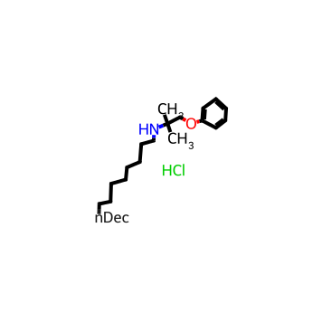 CCCCCCCCCCCCCCCCCCNC(C)(C)COc1ccccc1.Cl